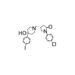 O=C1C[C@@H](CN2CCC(O)(c3ccc(I)cc3)CC2)CN1c1ccc(Cl)cc1